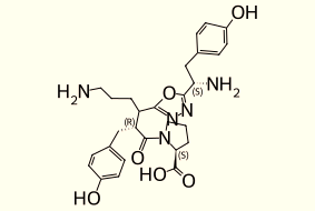 NCCCC(c1nnc([C@@H](N)Cc2ccc(O)cc2)o1)[C@@H](Cc1ccc(O)cc1)C(=O)N1CCC[C@H]1C(=O)O